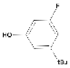 CC(C)(C)c1cc(O)cc(F)c1